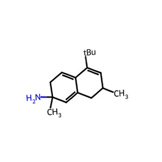 CC1C=C(C(C)(C)C)C2=CCC(C)(N)C=C2C1